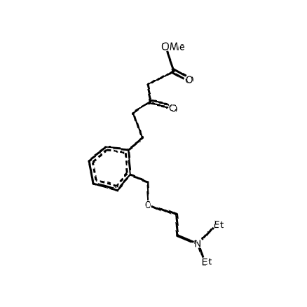 CCN(CC)CCOCc1ccccc1CCC(=O)CC(=O)OC